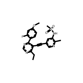 CCc1ncnc(-c2ccc(OC)cc2F)c1C#Cc1cnc(C)c(NS(C)(=O)=O)c1